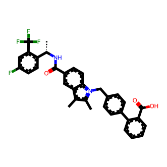 Cc1c(C)n(Cc2ccc(-c3ccccc3C(=O)O)cc2)c2ccc(C(=O)N[C@@H](C)c3ccc(F)cc3C(F)(F)F)cc12